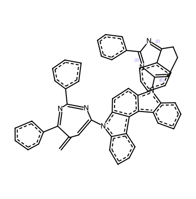 C=C1C=C(n2c3ccccc3c3c4c5ccccc5n(C5=C/CC/C(c6ccccc6)=N/C(c6ccccc6)=N\5)c4ccc32)N=C(c2ccccc2)N=C1c1ccccc1